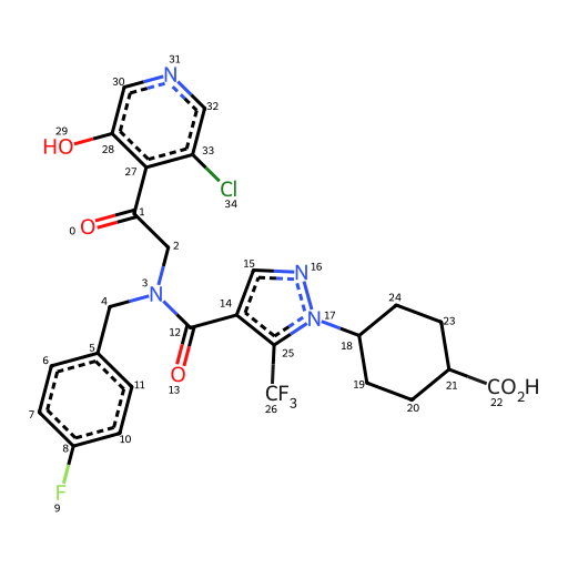 O=C(CN(Cc1ccc(F)cc1)C(=O)c1cnn(C2CCC(C(=O)O)CC2)c1C(F)(F)F)c1c(O)cncc1Cl